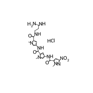 Cl.Cn1cc(NC(=O)c2cc(NC(=O)c3cc([N+](=O)[O-])nn3C)cn2C)cc1C(=O)NCCC(=N)N